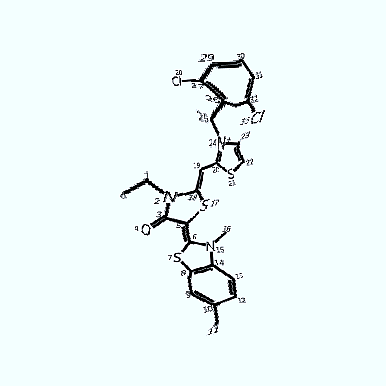 CCn1c(=O)/c(=C2\Sc3cc(C)ccc3N2C)s/c1=C\c1scc[n+]1Cc1c(Cl)cccc1Cl